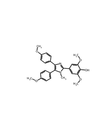 COc1ccc(-c2nc(-c3cc(OC)c(O)c(OC)c3)n(C)c2-c2ccc(OC)cc2)cc1